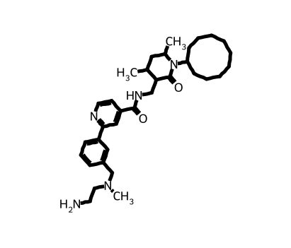 CC1CC(C)N(C2CCCCCCCCC2)C(=O)C1CNC(=O)c1ccnc(-c2cccc(CN(C)CCN)c2)c1